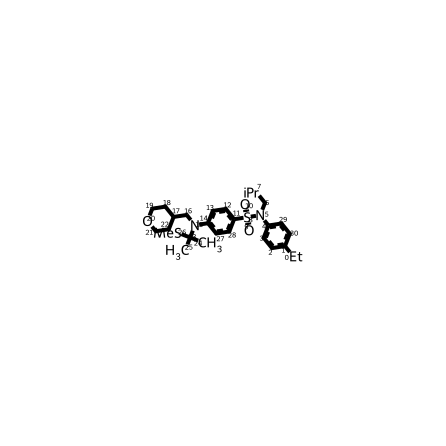 CCc1ccc(N(CC(C)C)S(=O)(=O)c2ccc(N(CC3CCOCC3)C(C)(C)SC)cc2)cc1